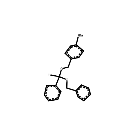 CC(C)(C)c1ccc(COC(Cl)(OCc2ccccc2)c2ccccc2)cc1